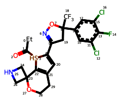 CCC(=O)[SH]1C(C2=NOC(c3cc(Cl)c(F)c(Cl)c3)(C(F)(F)F)C2)=CC2=C1C1(CNC1)OCC2